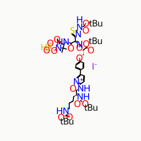 C[n+]1cc(-c2ccc(OC[C@H](O/N=C(\C(=O)N[C@@H]3C(=O)N(O[SH](=O)=O)C3(C)C)c3csc(NC(=O)OC(C)(C)C)n3)C(=O)OC(C)(C)C)cc2)ccc1NC(=O)[C@H](CCCCNC(=O)OC(C)(C)C)NC(=O)OC(C)(C)C.[I-]